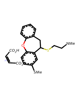 CNCCSC1Cc2ccccc2Oc2ccc(SC)cc21.O=C(O)/C=C\C(=O)O